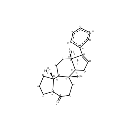 C[C@]12CCC3[C@@H](CCC(=O)N4CCC[C@]34C)[C@@H]1CC=C2c1cnccn1